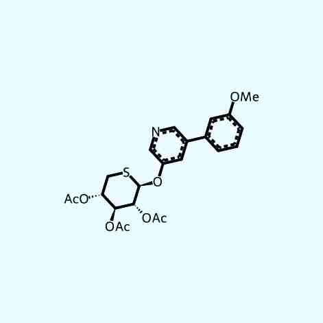 COc1cccc(-c2cncc(O[C@@H]3SC[C@@H](OC(C)=O)[C@H](OC(C)=O)[C@H]3OC(C)=O)c2)c1